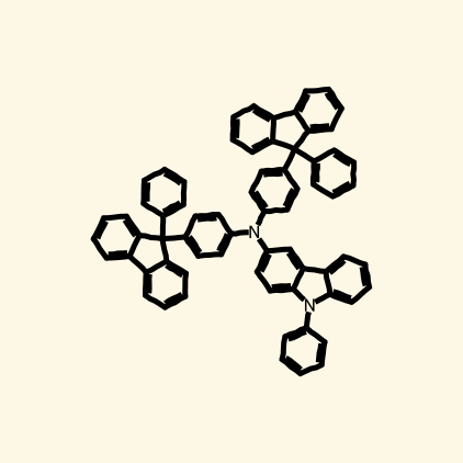 c1ccc(-n2c3ccccc3c3cc(N(c4ccc(C5(c6ccccc6)c6ccccc6-c6ccccc65)cc4)c4ccc(C5(c6ccccc6)c6ccccc6-c6ccccc65)cc4)ccc32)cc1